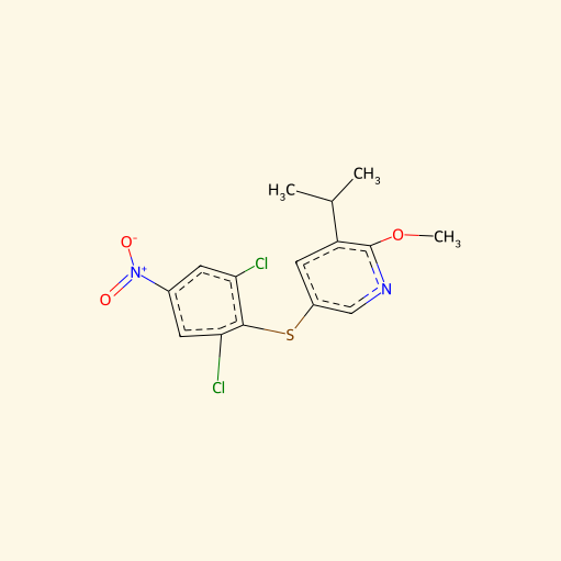 COc1ncc(Sc2c(Cl)cc([N+](=O)[O-])cc2Cl)cc1C(C)C